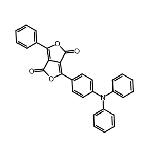 O=C1OC(c2ccc(N(c3ccccc3)c3ccccc3)cc2)=C2C(=O)OC(c3ccccc3)=C12